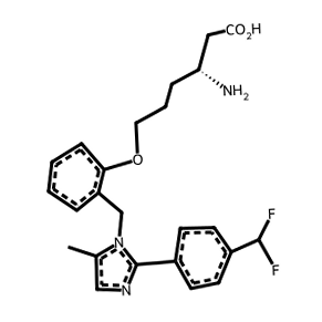 Cc1cnc(-c2ccc(C(F)F)cc2)n1Cc1ccccc1OCCC[C@@H](N)CC(=O)O